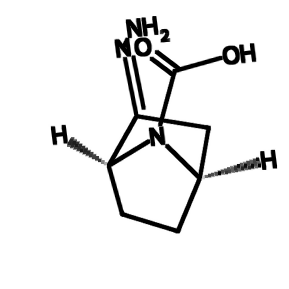 NN=C1C[C@H]2CC[C@@H]1N2C(=O)O